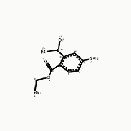 COc1ccc(C(=O)OCC(C)(C)C)c(B(O)O)c1